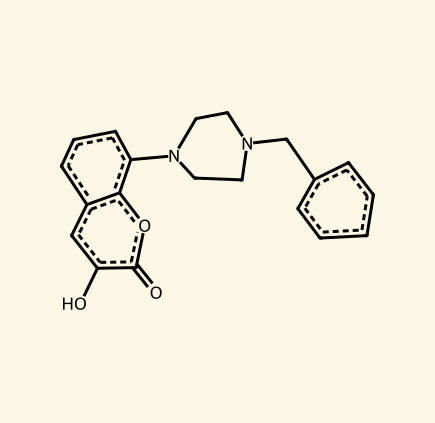 O=c1oc2c(N3CCN(Cc4ccccc4)CC3)cccc2cc1O